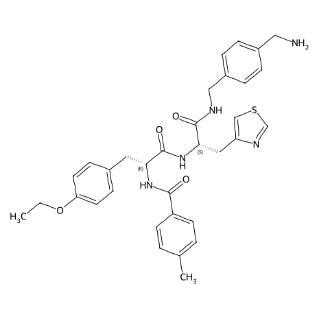 CCOc1ccc(C[C@@H](NC(=O)c2ccc(C)cc2)C(=O)N[C@@H](Cc2cscn2)C(=O)NCc2ccc(CN)cc2)cc1